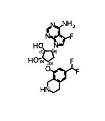 Nc1ncnc2c1c(F)cn2[C@@H]1C[C@H](Oc2cc(C(F)F)cc3c2CNCC3)[C@@H](O)[C@H]1O